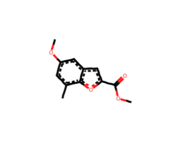 COC(=O)c1cc2cc(OC)cc(C)c2o1